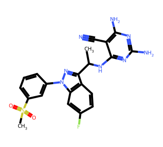 CC(Nc1nc(N)nc(N)c1C#N)c1nn(-c2cccc(S(C)(=O)=O)c2)c2cc(F)ccc12